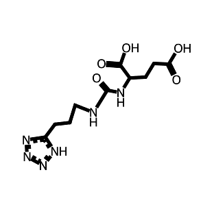 O=C(O)CCC(NC(=O)NCCCc1nnn[nH]1)C(=O)O